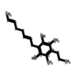 CC=CCCC=CCc1c(O)c(C)c(CCC)c(C)c1O